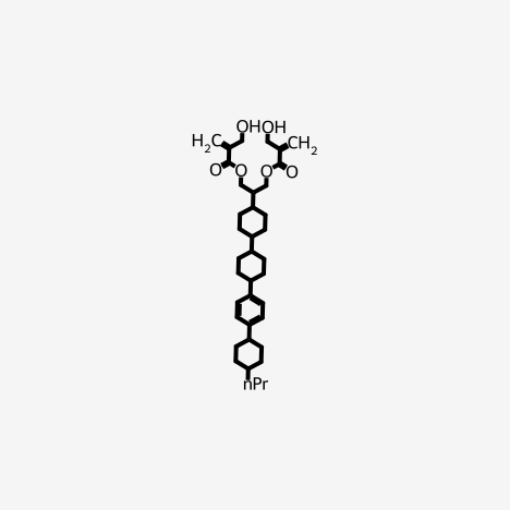 C=C(CO)C(=O)OCC(COC(=O)C(=C)CO)C1CCC(C2CCC(c3ccc(C4CCC(CCC)CC4)cc3)CC2)CC1